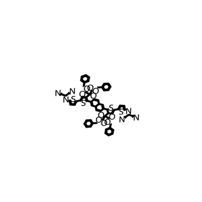 N#CC(C#N)=Nc1ccc(C2=CC3C(S2)C2=CC4C=C5OC(C(=O)OCc6ccccc6)(C(=O)OCc6ccccc6)c6cc(-c7ccc(N=C(C#N)C#N)s7)sc6C5=CC4C=C2OC3(C(=O)OCc2ccccc2)C(=O)OCc2ccccc2)s1